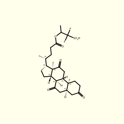 CC(OC(=O)CC[C@@H](C)[C@H]1CC[C@H]2[C@@H]3C(=O)C[C@@H]4CC(=O)CC[C@]4(C)[C@H]3CC(=O)[C@]12C)C(F)(F)S(=O)(=O)O